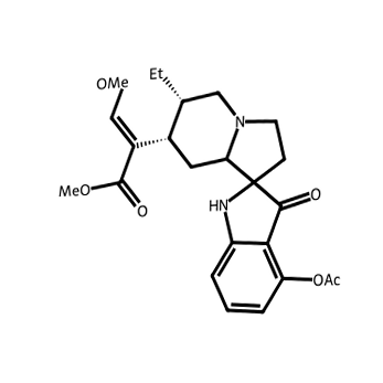 CC[C@@H]1CN2CCC3(Nc4cccc(OC(C)=O)c4C3=O)C2C[C@@H]1/C(=C\OC)C(=O)OC